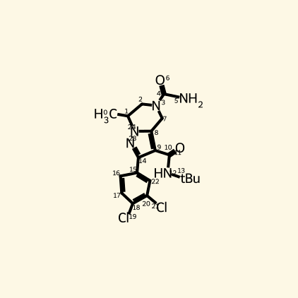 CC1CN(C(N)=O)Cc2c(C(=O)NC(C)(C)C)c(-c3ccc(Cl)c(Cl)c3)nn21